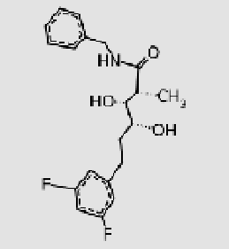 C[C@@H](C(=O)NCc1ccccc1)[C@@H](O)[C@H](O)CCc1cc(F)cc(F)c1